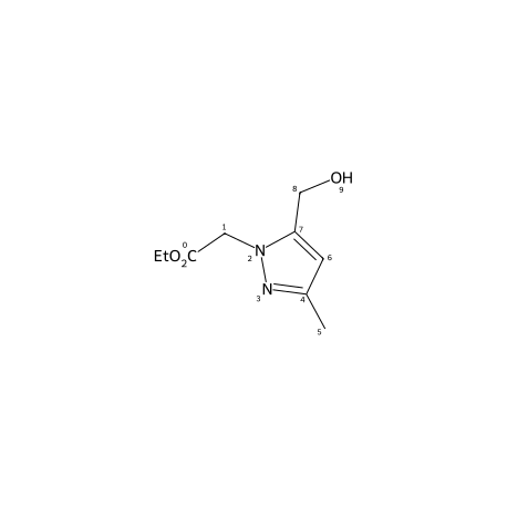 CCOC(=O)Cn1nc(C)cc1CO